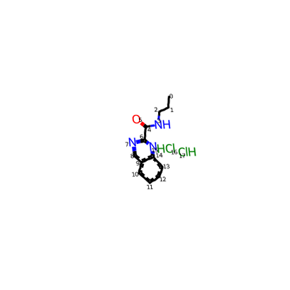 CCCNC(=O)c1ncc2ccccc2n1.Cl.Cl